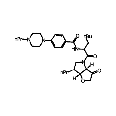 CCC[C@H]1CN(C(=O)C(CC(C)(C)C)NC(=O)c2ccc(N3CCN(CCC)CC3)cc2)[C@@H]2C(=O)CO[C@H]12